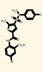 Cc1sc(C(=O)Nc2ccc(Br)cc2C(=O)O)cc1S(=O)(=O)N(C)c1ccc(Cl)cc1